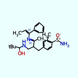 C/C=C(\N=C(/C)C(CNC(O)C(C)(C)C)Cc1ccc([S+](N)[O-])c(C)c1)c1ccccc1